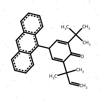 C=CC(C)(C)C1=CC(c2c3ccccc3cc3ccccc23)C=C(C(C)(C)C)C1=O